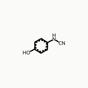 N#CNc1ccc(O)cc1